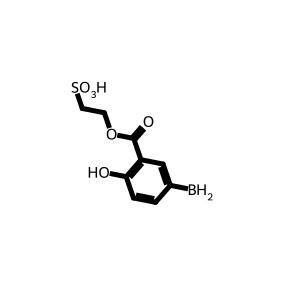 Bc1ccc(O)c(C(=O)OCCS(=O)(=O)O)c1